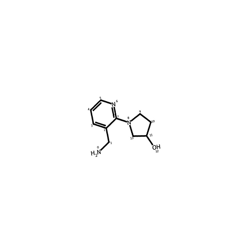 NCc1cccnc1N1CCC(O)C1